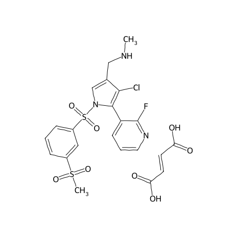 CNCc1cn(S(=O)(=O)c2cccc(S(C)(=O)=O)c2)c(-c2cccnc2F)c1Cl.O=C(O)C=CC(=O)O